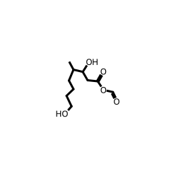 CC(CCCCO)C(O)CC(=O)OC=O